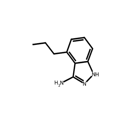 CCCc1cccc2[nH]nc(N)c12